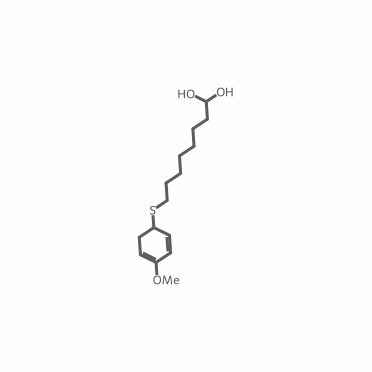 COC1=CCC(SCCCCCCCC(O)O)C=C1